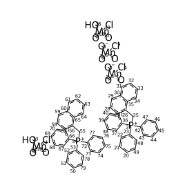 [O]=[Mn](=[O])([O-])[Cl].[O]=[Mn](=[O])([O-])[Cl].[O]=[Mn](=[O])([OH])[Cl].[O]=[Mn](=[O])([OH])[Cl].c1ccc([P+](Cc2cccc3ccccc23)(c2ccccc2)c2ccccc2)cc1.c1ccc([P+](Cc2cccc3ccccc23)(c2ccccc2)c2ccccc2)cc1